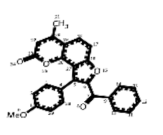 COc1ccc(-c2c(C(=O)c3ccccc3)oc3ccc4c(C)cc(=O)oc4c23)cc1